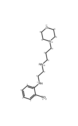 O=[N+]([O-])c1ccccc1NCCNCCCN1CCOCC1